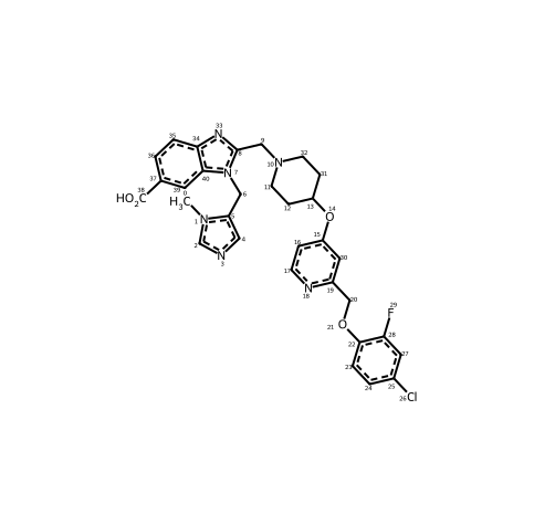 Cn1cncc1Cn1c(CN2CCC(Oc3ccnc(COc4ccc(Cl)cc4F)c3)CC2)nc2ccc(C(=O)O)cc21